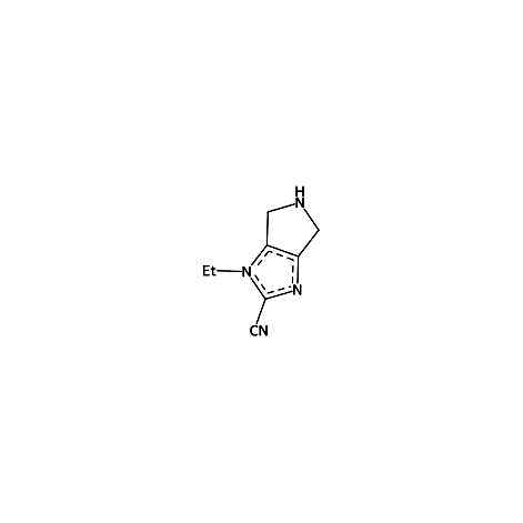 CCn1c(C#N)nc2c1CNC2